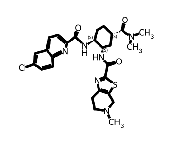 CN1CCc2nc(C(=O)N[C@H]3C[C@@H](C(=O)N(C)C)CC[C@@H]3NC(=O)c3ccc4cc(Cl)ccc4n3)sc2C1